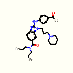 CCC(=O)c1ccc(Nc2nc3ccc(C(=O)N(CCC(C)C)CCC(C)C)cc3n2CCCN2CCCCC2)cc1